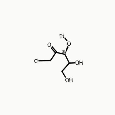 CCO[C@H](C(=O)CCl)C(O)CO